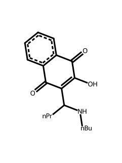 CCCCNC(CCC)C1=C(O)C(=O)c2ccccc2C1=O